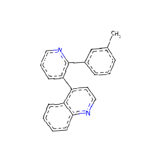 Cc1cccc(-c2ncccc2-c2ccnc3ccccc23)c1